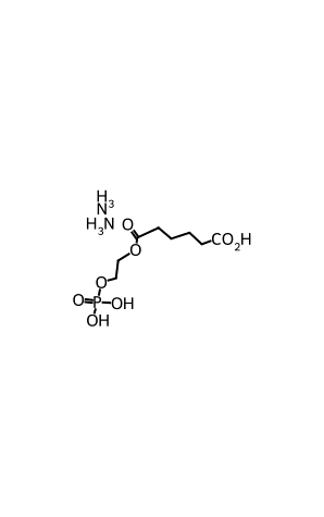 N.N.O=C(O)CCCCC(=O)OCCOP(=O)(O)O